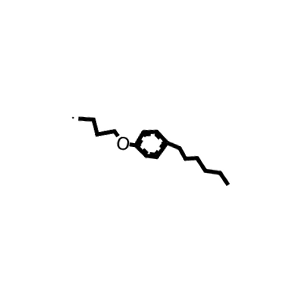 [CH2]CCCOc1ccc(CCCCCC)cc1